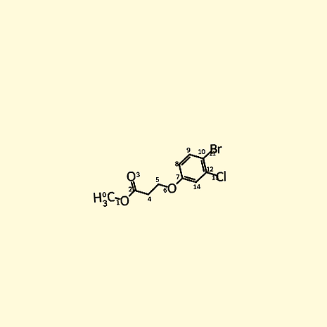 COC(=O)CCOc1ccc(Br)c(Cl)c1